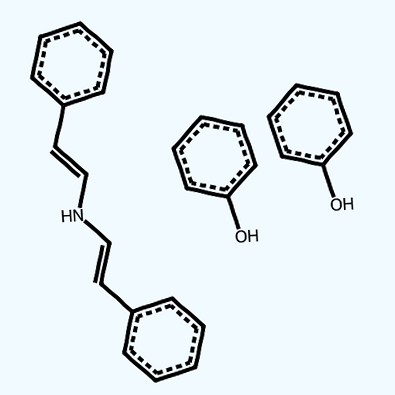 C(=Cc1ccccc1)NC=Cc1ccccc1.Oc1ccccc1.Oc1ccccc1